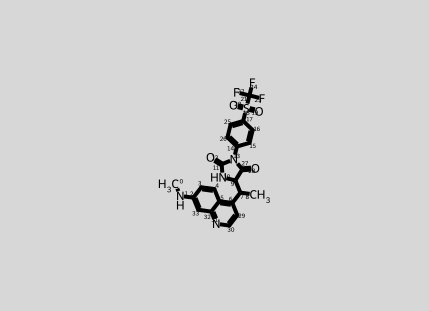 CNc1ccc2c(C(C)C3NC(=O)N(c4ccc(S(=O)(=O)C(F)(F)F)cc4)C3=O)ccnc2c1